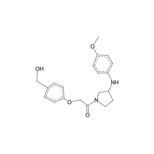 COc1ccc(NC2CCN(C(=O)COc3ccc(CO)cc3)C2)cc1